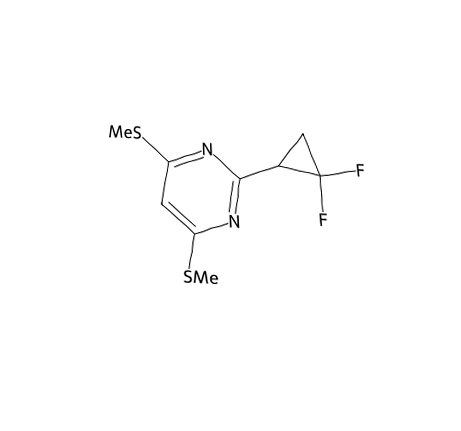 CSc1cc(SC)nc(C2CC2(F)F)n1